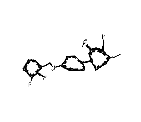 Cc1ccc(-c2ccc(OCc3cccc(F)c3F)cc2)c(F)c1F